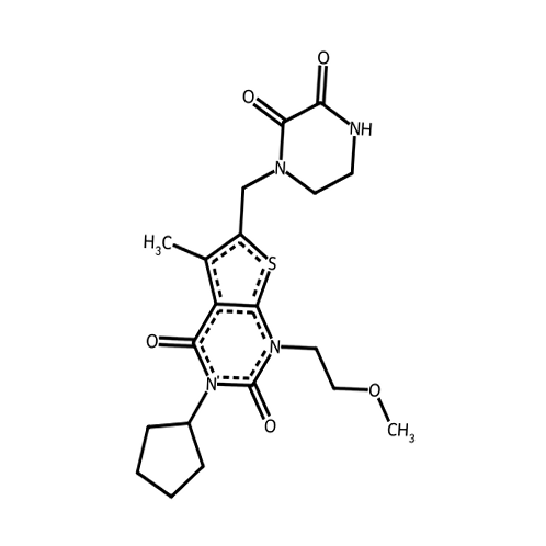 COCCn1c(=O)n(C2CCCC2)c(=O)c2c(C)c(CN3CCNC(=O)C3=O)sc21